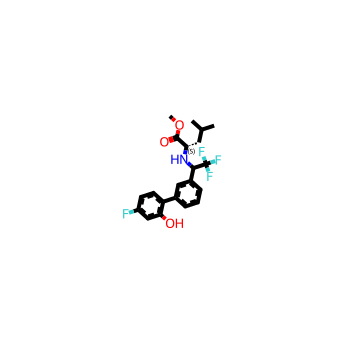 COC(=O)[C@H](CC(C)C)NC(c1cccc(-c2ccc(F)cc2O)c1)C(F)(F)F